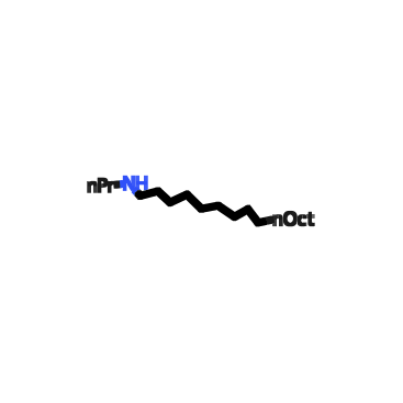 [CH2]CCNCCCCCCCCCCCCCCCCC